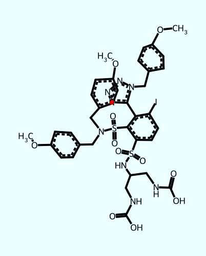 COc1ccc(CN(Cc2ccc(OC)cc2)S(=O)(=O)c2c(S(=O)(=O)NC(CNC(=O)O)CNC(=O)O)ccc(I)c2-c2nnnn2Cc2ccc(OC)cc2)cc1